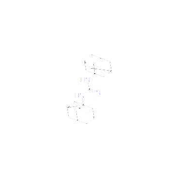 N=C(NC12CC3CC(CC(C3)C1)C2)NC12CC3CC(CC(C3)C1)C2